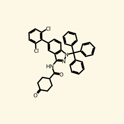 O=C1CCC(C(=O)Nc2nn(C(c3ccccc3)(c3ccccc3)c3ccccc3)c3ccc(-c4c(Cl)cccc4Cl)cc23)CC1